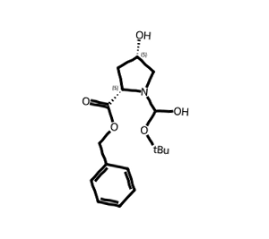 CC(C)(C)OC(O)N1C[C@@H](O)C[C@H]1C(=O)OCc1ccccc1